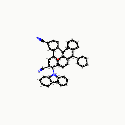 N#Cc1ccc(-c2c3ccccc3c(-c3ccccc3)c3ccccc23)c(-c2ccc(-n3c4ccccc4c4ccccc43)c(C#N)c2)c1